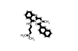 CN(C)CCCNc1nc(CN(C)C(=O)c2ccc3ccccc3c2)nc2ccccc12